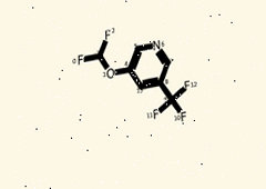 FC(F)Oc1cn[c]c(C(F)(F)F)c1